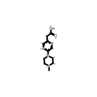 CN1CCN(c2cnc(CC(=O)O)cn2)CC1